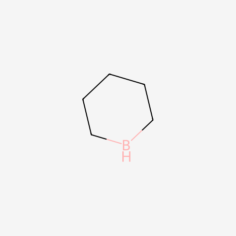 B1CCCCC1